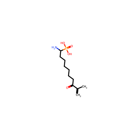 C=C(C)C(=O)CCCCCCC(N)P(=O)(O)O